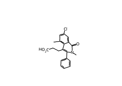 Cc1cc(Cl)cc2c(=O)n(C)c(-c3ccccc3)c(CCC(=O)O)c12